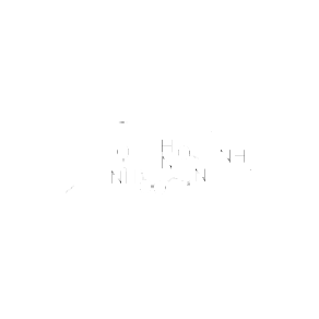 C=CCCNC(=O)C(=O)C(CCC=C)NC(=O)[C@@H]1CCCN1C(=O)C(N)C(C)(C)C